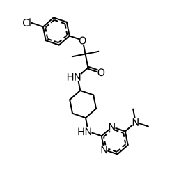 CN(C)c1ccnc(NC2CCC(NC(=O)C(C)(C)Oc3ccc(Cl)cc3)CC2)n1